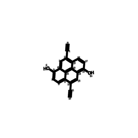 C#Cc1cc2c(O)ccc3c(C#C)cc4c(O)ccc1c4c23